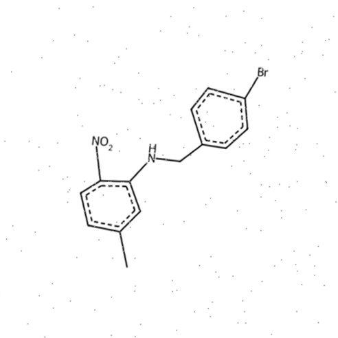 Cc1ccc([N+](=O)[O-])c(NCc2ccc(Br)cc2)c1